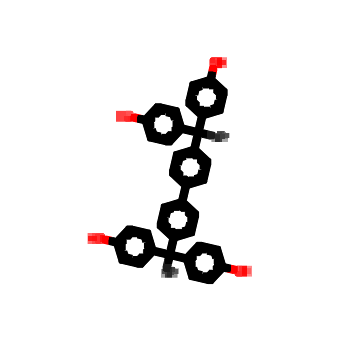 CCCC(c1ccc(O)cc1)(c1ccc(O)cc1)c1ccc(-c2ccc(C(CCC)(c3ccc(O)cc3)c3ccc(O)cc3)cc2)cc1